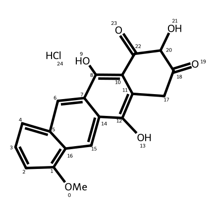 COc1cccc2cc3c(O)c4c(c(O)c3cc12)CC(=O)C(O)C4=O.Cl